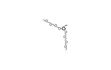 C=Cc1cc(OCCOCCOCCOCC)cc(OCCOCCOCCOCC)c1